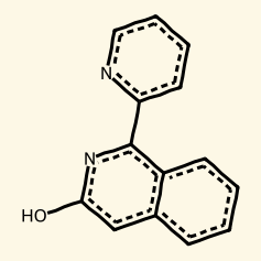 Oc1cc2ccccc2c(-c2ccccn2)n1